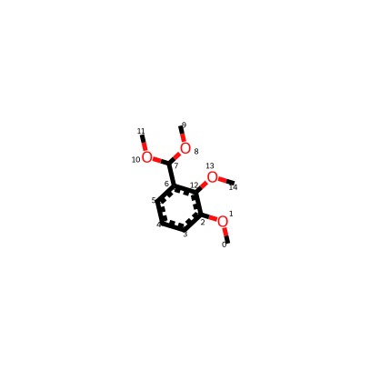 COc1cccc(C(OC)OC)c1OC